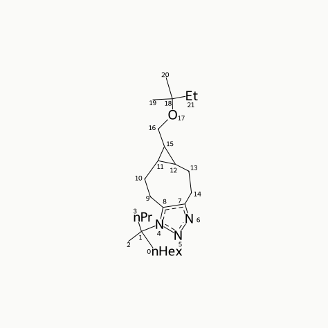 CCCCCCC(C)(CCC)n1nnc2c1CCC1C(CC2)C1COC(C)(C)CC